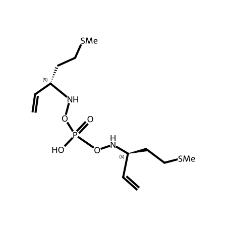 C=C[C@H](CCSC)NOP(=O)(O)ON[C@H](C=C)CCSC